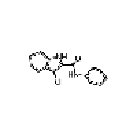 O=C(Nc1ccccc1)c1[nH]c2ccccc2c1Cl